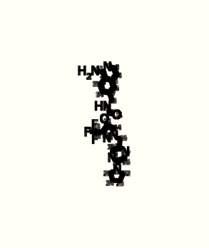 Nc1nccc2cc(CNC(=O)Oc3cn(Cc4cnc(N5CCCC5)cn4)nc3C(F)(F)F)ccc12